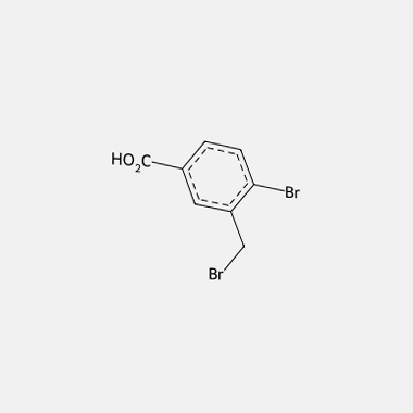 O=C(O)c1ccc(Br)c(CBr)c1